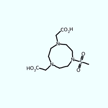 CS(=O)(=O)N1CCN(CC(=O)O)CCN(CC(=O)O)CC1